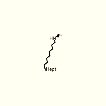 CCCCCCCCCCCCCCCNC(C)C